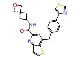 O=C(NC1CC2(COC2)C1)c1cc(Cc2ccc(-c3cscn3)cc2)c2sccc2n1